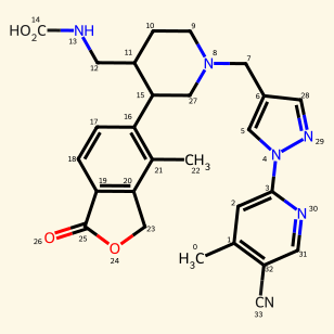 Cc1cc(-n2cc(CN3CCC(CNC(=O)O)C(c4ccc5c(c4C)COC5=O)C3)cn2)ncc1C#N